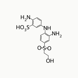 Nc1cc(S(=O)(=O)CCO)ccc1Nc1ccc(N)c(S(=O)(=O)O)c1